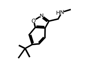 CNCc1noc2cc(C(C)(C)C)ccc12